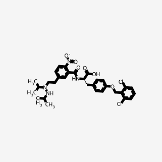 CC(C)NN(CCc1ccc([N+](=O)[O-])c(C(=O)N[C@@H](Cc2ccc(OCc3c(Cl)cccc3Cl)cc2)C(=O)O)c1)C(C)C